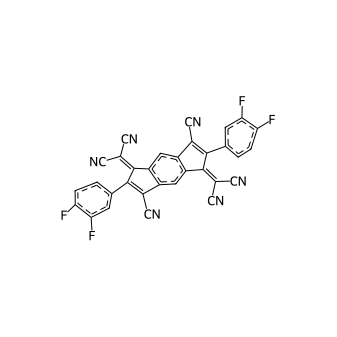 N#CC(C#N)=C1C(c2ccc(F)c(F)c2)=C(C#N)c2cc3c(cc21)C(C#N)=C(c1ccc(F)c(F)c1)C3=C(C#N)C#N